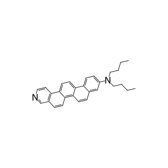 CCCCN(CCCC)c1ccc2c(ccc3c2ccc2c4ccncc4ccc23)c1